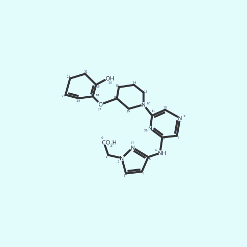 O=C(O)Cn1ccc(Nc2cncc(N3CCCC(OC4=C(O)CCC=C4)C3)n2)n1